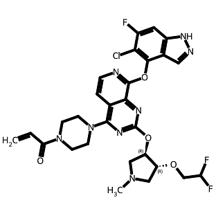 C=CC(=O)N1CCN(c2nc(O[C@@H]3CN(C)C[C@H]3OCC(F)F)nc3c(Oc4c(Cl)c(F)cc5[nH]ncc45)nccc23)CC1